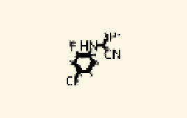 CC(C)C(C#N)Nc1ccc(Cl)cc1F